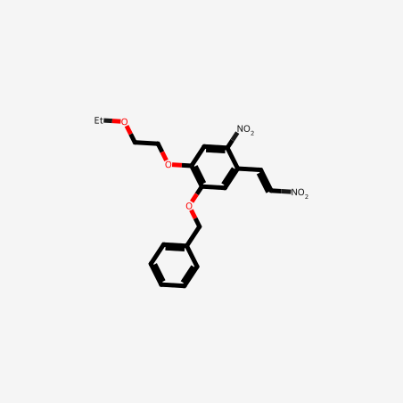 CCOCCOc1cc([N+](=O)[O-])c(C=C[N+](=O)[O-])cc1OCc1ccccc1